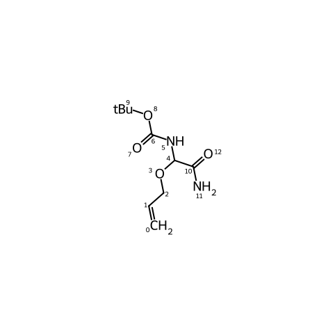 C=CCOC(NC(=O)OC(C)(C)C)C(N)=O